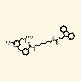 O=C(O)NCc1cc(Oc2cccc(C(=O)NCCCCCCNC(=O)OCC3c4ccccc4-c4ccccc43)c2)nc(C(F)(F)F)c1